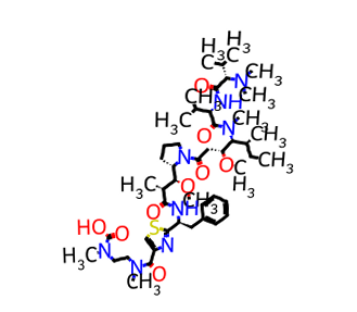 CC[C@H](C)[C@@H]([C@@H](CC(=O)N1CCC[C@H]1[C@H](OC)[C@@H](C)C(=O)N[C@@H](Cc1ccccc1)c1nc(C(=O)N(C)CCN(C)C(=O)O)cs1)OC)N(C)C(=O)[C@@H](NC(=O)[C@H](C(C)C)N(C)C)C(C)C